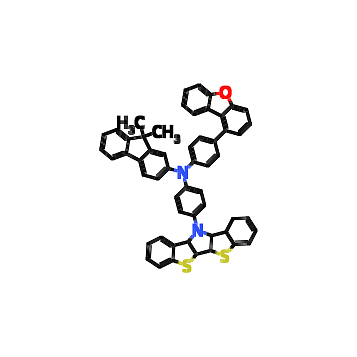 CC1(C)c2ccccc2-c2ccc(N(c3ccc(-c4cccc5oc6ccccc6c45)cc3)c3ccc(N4C5c6ccccc6SC5C5SC6=CC=CCC6C54)cc3)cc21